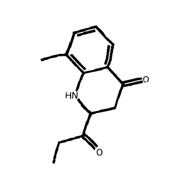 CCC(=O)C1CC(=O)c2cccc(C)c2N1